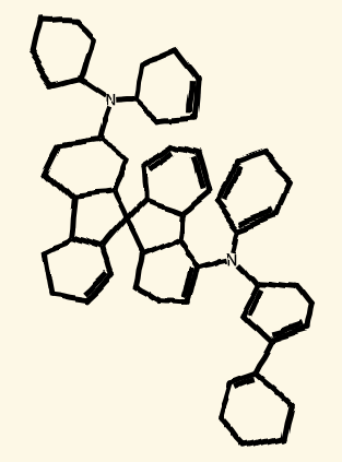 C1=CC2C3C(N(C4=CCCC=C4)C4=CC(C5=CCCCC5)=CCC4)=CCCC3C3(C2C=C1)C1C=CCCC1C1CCC(N(C2CC=CCC2)C2CCCCC2)CC13